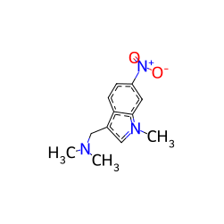 CN(C)Cc1cn(C)c2cc([N+](=O)[O-])ccc12